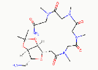 CN(CC(N)=O)C(=O)CN(C)C(=O)CN(C)C(=O)CN(C)C(=O)C[C@@H]1O[C@H](CN)[C@H]2OC(C)(C)O[C@H]21